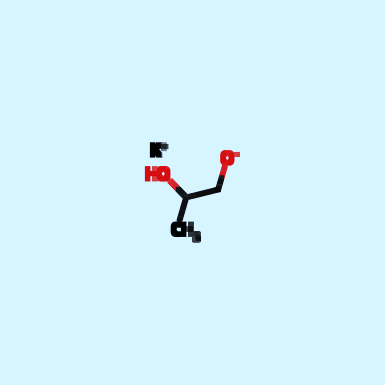 CC(O)C[O-].[K+]